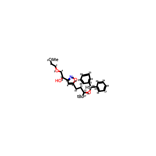 COCCOCC(O)c1cc(CCC(O[SiH](c2ccccc2)c2ccccc2)C(C)(C)C)on1